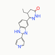 CCC1CC(=O)NN=C1c1ccc2[nH]c(-c3ccncc3)nc2c1